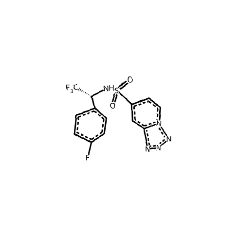 O=S(=O)(N[C@H](c1ccc(F)cc1)C(F)(F)F)c1ccn2nnnc2c1